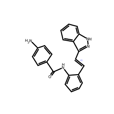 Nc1ccc(C(=O)Nc2ccccc2/C=C/c2n[nH]c3ccccc23)cc1